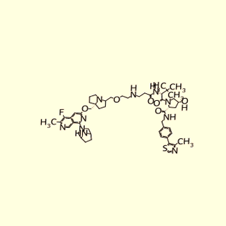 Cc1ncsc1-c1ccc(CNC(=O)[C@H]2C[C@H](O)CN2C(=O)[C@H](NC(=O)CCNCCOCC2CC[C@@]3(COc4cc5c(F)c(C)ncc5c(N5CC6CCC(C5)N6)n4)CCCN23)C(C)(C)C)cc1